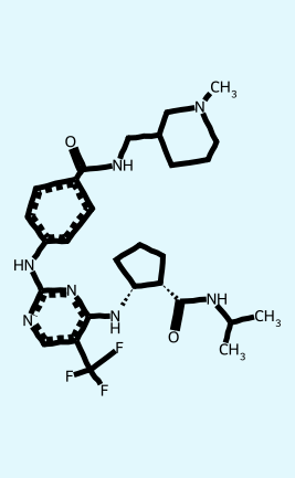 CC(C)NC(=O)[C@H]1CCC[C@H]1Nc1nc(Nc2ccc(C(=O)NCC3CCCN(C)C3)cc2)ncc1C(F)(F)F